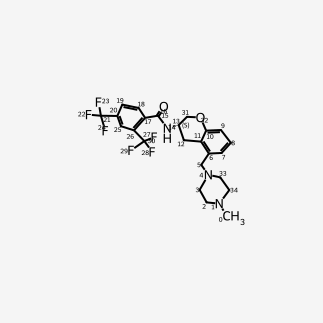 CN1CCN(Cc2cccc3c2C[C@H](NC(=O)c2ccc(C(F)(F)F)cc2C(F)(F)F)CO3)CC1